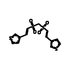 O=S(=O)(C=Cc1ccsc1)CS(=O)(=O)C=Cc1ccsc1